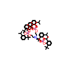 CC(C)c1cccc(C(C)(C)C)c1OP(OCCN(CCOP(Oc1c(C(C)C)cccc1C(C)(C)C)Oc1c(C(C)C)cccc1C(C)(C)C)CCOP(Oc1c(C(C)C)cccc1C(C)(C)C)Oc1c(C(C)C)cccc1C(C)(C)C)Oc1c(C(C)C)cccc1C(C)(C)C